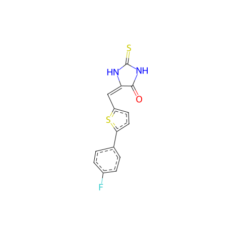 O=C1NC(=S)NC1=Cc1ccc(-c2ccc(F)cc2)s1